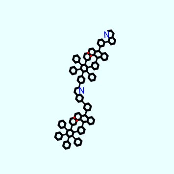 c1ccc(-c2c(-c3ccccc3)c(-c3ccccc3)c(-c3cccc(-c4c5ccccc5c(-c5cccc(-c6ccc7ccc(-c8ccc(-c9c(-c%10ccccc%10)c(-c%10ccccc%10)c(-c%10ccccc%10)c(-c%10cccc(-c%11c%12ccccc%12c(-c%12cccc(-c%13cccc%14cccnc%13%14)c%12)c%12ccccc%11%12)c%10)c9-c9ccccc9)cc8)nc7c6)c5)c5ccccc45)c3)c(-c3ccccc3)c2-c2ccccc2)cc1